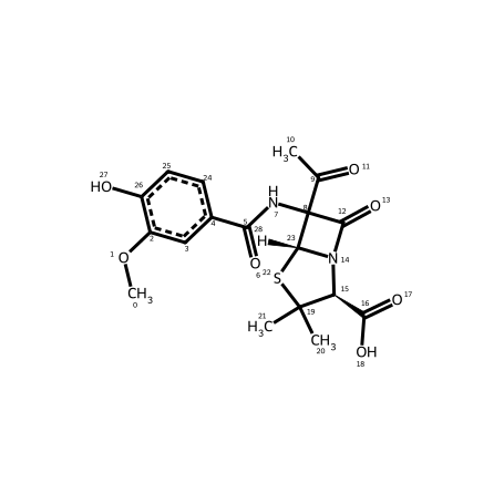 COc1cc(C(=O)NC2(C(C)=O)C(=O)N3[C@@H](C(=O)O)C(C)(C)S[C@@H]32)ccc1O